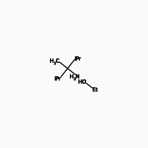 CC(C)C(C)(N)C(C)C.CCO